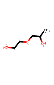 CC(O)COCCO